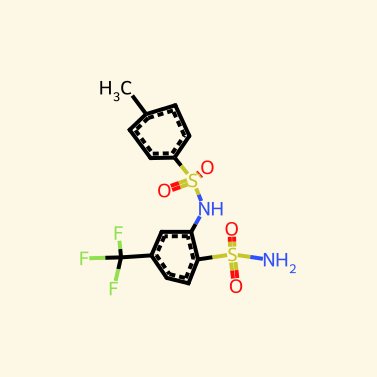 Cc1ccc(S(=O)(=O)Nc2cc(C(F)(F)F)ccc2S(N)(=O)=O)cc1